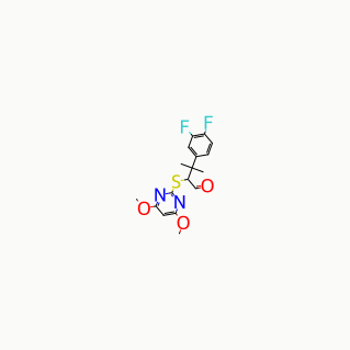 COc1cc(OC)nc(SC(C=O)C(C)(C)c2ccc(F)c(F)c2)n1